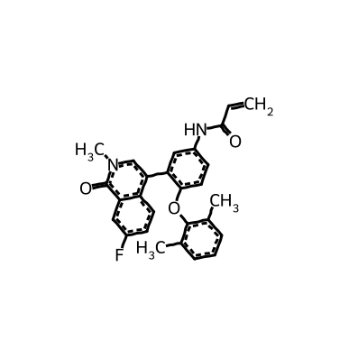 C=CC(=O)Nc1ccc(Oc2c(C)cccc2C)c(-c2cn(C)c(=O)c3cc(F)ccc23)c1